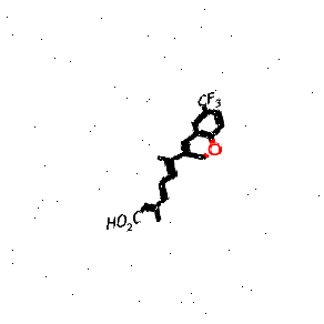 CC(C=CC=C(C)C1=Cc2cc(C(F)(F)F)ccc2OC1)=CC(=O)O